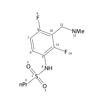 CCCS(=O)(=O)Nc1ccc(F)c(CNC)c1F